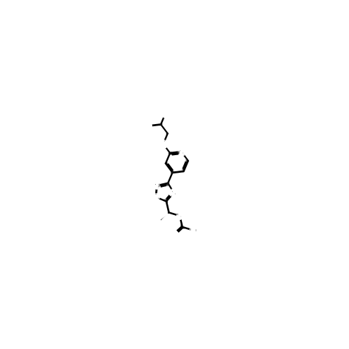 C[C@H](NC(=O)O)c1nc(-c2ccnc(OCC(F)F)c2)no1